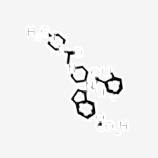 CN1CCN(C(=O)CN2CCC([N+](C)(C(=O)c3ccccc3Cl)[C@@H]3CCc4ccc(OC(=O)O)cc43)CC2)CC1